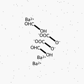 O=C([O-])[O-].O=C([O-])[O-].O=[C-]O.O=[C-]O.[Ba+2].[Ba+2].[Ba+2]